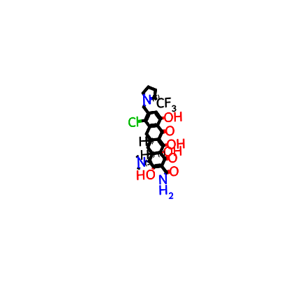 CN(C)[C@@H]1C(O)=C(C(N)=O)C(=O)[C@@]2(O)C(O)=C3C(=O)c4c(O)cc(CN5CCC[C@H]5C(F)(F)F)c(Cl)c4C[C@H]3C[C@@H]12